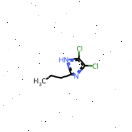 CCCc1nc(Cl)c(Cl)[nH]1